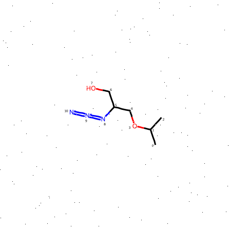 CC(C)OCC(CO)N=[N+]=[N-]